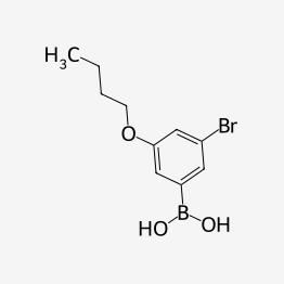 CCCCOc1cc(Br)cc(B(O)O)c1